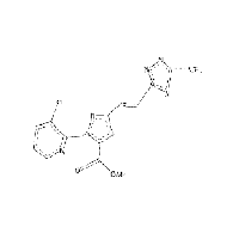 COC(=O)c1cc(C=Cn2nnc(C(F)(F)F)n2)nn1-c1ncccc1Cl